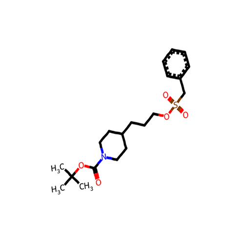 CC(C)(C)OC(=O)N1CCC(CCCOS(=O)(=O)Cc2ccccc2)CC1